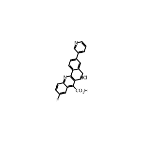 Cl.O=C(O)c1c2c(nc3ccc(F)cc13)-c1ccc(-c3cccnc3)cc1CC2